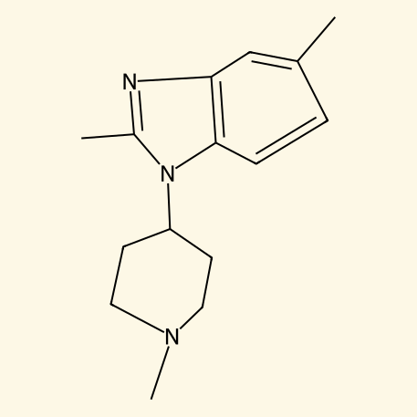 Cc1ccc2c(c1)nc(C)n2C1CCN(C)CC1